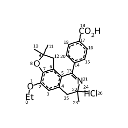 CCOc1cc2c(c3c1OC(C)(C)C3)C(c1ccc(C(=O)O)cc1)=NC(C)(C)C2.Cl